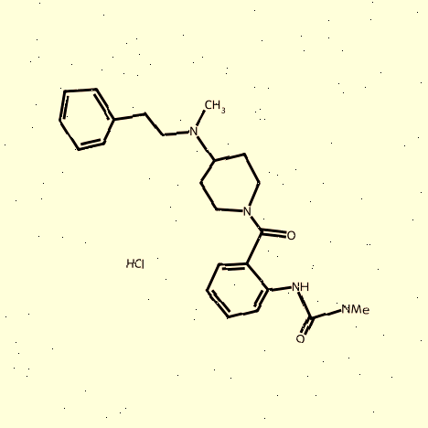 CNC(=O)Nc1ccccc1C(=O)N1CCC(N(C)CCc2ccccc2)CC1.Cl